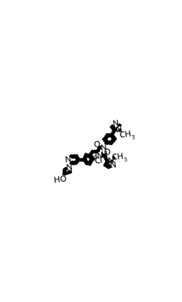 Cn1cncc1-c1ccc(NC(=O)C(Cc2cc(-c3ccnc(N4CC(O)C4)c3)ccc2Cl)NC(=O)c2ccnn2C)cc1